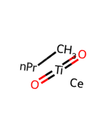 CCCC.[Ce].[O]=[Ti]=[O]